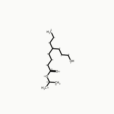 CCCC(CCCO)CCCC(=O)OC(C)C